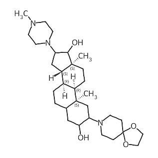 CN1CCN(C2C[C@H]3[C@@H]4CCC5CC(O)C(N6CCC7(CC6)OCCO7)C[C@]5(C)[C@@H]4CC[C@]3(C)C2O)CC1